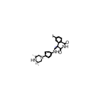 C[C@@H]1CN(c2ccc(N/C=C3\C(=O)NC(=O)c4ccc(I)cc43)cc2)C[C@H](C)N1